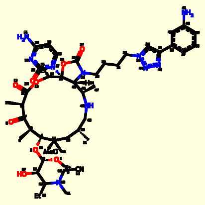 CCO[C@@H](O[C@@H]1[C@@H](C)C(=O)[C@@H](C)C(=O)O[C@H](CC)[C@@]2(n3ccc(N)nc3=O)OC(=O)N(CCCCn3cc(-c4cccc(N)c4)nn3)[C@@H]2[C@@H](C)NC[C@H](C)C[C@@]1(C)OC)C(O)C(CC)N(C)CC#N